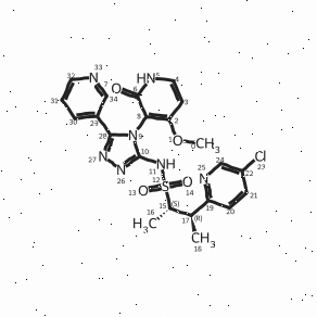 COc1cc[nH]c(=O)c1-n1c(NS(=O)(=O)[C@@H](C)[C@H](C)c2ccc(Cl)cn2)nnc1-c1cccnc1